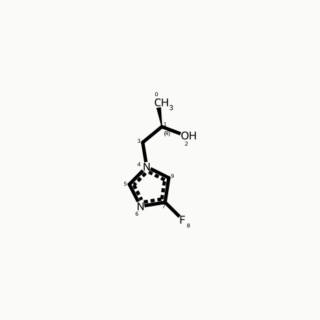 C[C@@H](O)Cn1cnc(F)c1